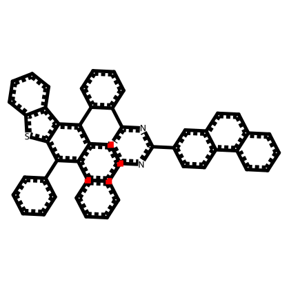 c1ccc(-c2nc(-c3ccc4c(ccc5ccccc54)c3)nc(-c3ccccc3-c3c4ccccc4c(-c4ccccc4)c4sc5ccccc5c34)n2)cc1